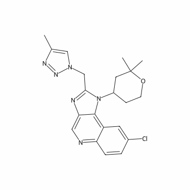 Cc1cn(Cc2nc3cnc4ccc(Cl)cc4c3n2C2CCOC(C)(C)C2)nn1